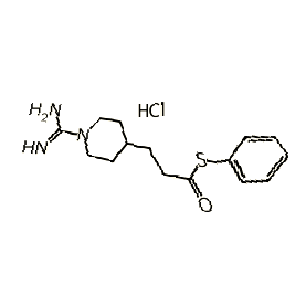 Cl.N=C(N)N1CCC(CCC(=O)Sc2ccccc2)CC1